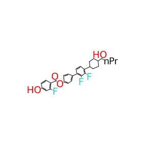 CCCC(O)C1CCC(c2ccc(-c3ccc(OC(=O)c4ccc(O)cc4F)cc3)c(F)c2F)CC1